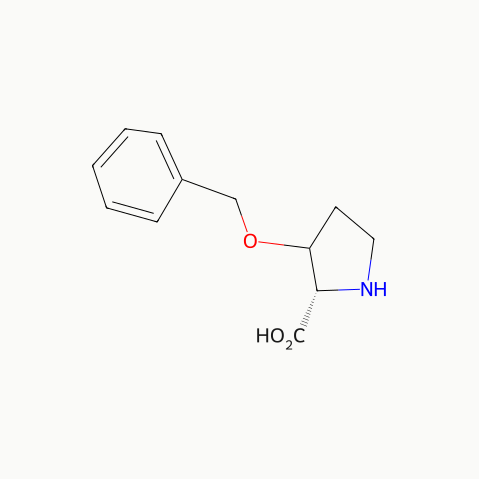 O=C(O)[C@H]1NCCC1OCc1ccccc1